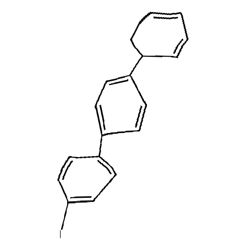 Ic1ccc(-c2ccc(C3C=CC=CC3)cc2)cc1